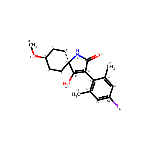 CO[C@H]1CC[C@]2(CC1)NC(=O)C(c1c(C)cc(I)cc1C)=C2O